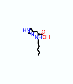 CCCCCCN[C@@H](Cc1c[nH]cn1)C(=O)O